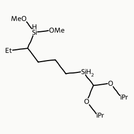 [CH2]CC(CCC[SiH2]C(OC(C)C)OC(C)C)[SiH](OC)OC